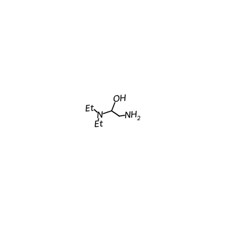 CCN(CC)C(O)CN